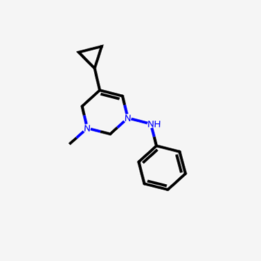 CN1CC(C2CC2)=CN(Nc2ccccc2)C1